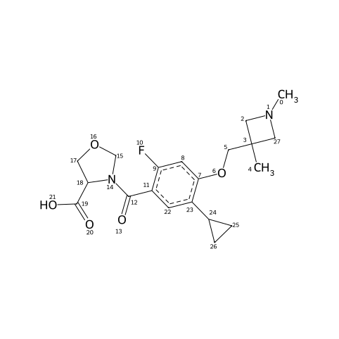 CN1CC(C)(COc2cc(F)c(C(=O)N3COCC3C(=O)O)cc2C2CC2)C1